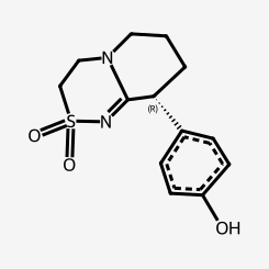 O=S1(=O)CCN2CCC[C@H](c3ccc(O)cc3)C2=N1